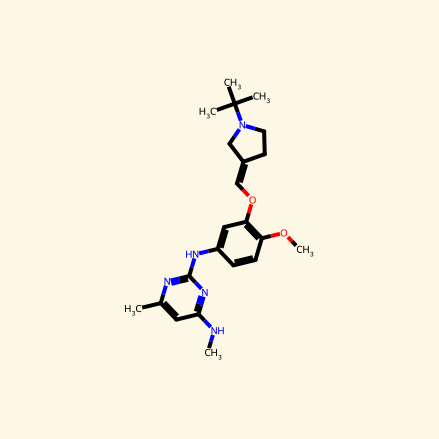 CNc1cc(C)nc(Nc2ccc(OC)c(O/C=C3\CCN(C(C)(C)C)C3)c2)n1